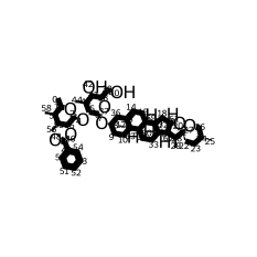 CC1O[C@@H](OC2[C@H](O[C@H]3CC[C@@]4(C)C(=CC[C@H]5[C@@H]6C[C@@H]7O[C@]8(CC[C@@H](C)CO8)[C@@H](C)[C@@H]7[C@@]6(C)CC[C@@H]54)C3)OC(CO)[C@@H](O)[C@@H]2C)C(OC(=O)c2ccccc2)[C@@H](C)[C@H]1C